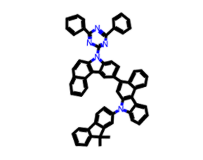 CC1(C)c2ccccc2-c2ccc(-n3c4ccccc4c4c5ccccc5c(-c5ccc6c(c5)c5c7ccccc7ccc5n6-c5nc(-c6ccccc6)nc(-c6ccccc6)n5)cc43)cc21